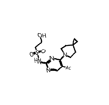 CC(=O)c1cnc(NS(=O)(=O)CCO)nc1N1CCC2(CC1)CC2